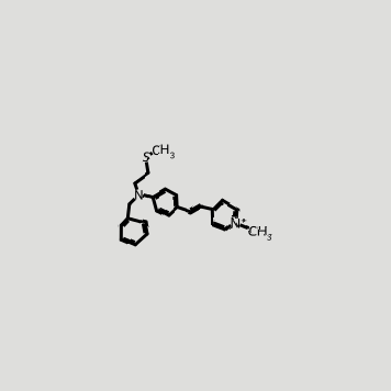 CSCCN(Cc1ccccc1)c1ccc(/C=C/c2cc[n+](C)cc2)cc1